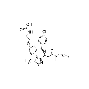 CCNC(=O)C[C@@H]1N=C(c2ccc(Cl)cc2)c2cc(OCCNC(=O)O)ccc2-n2c(C)nnc21